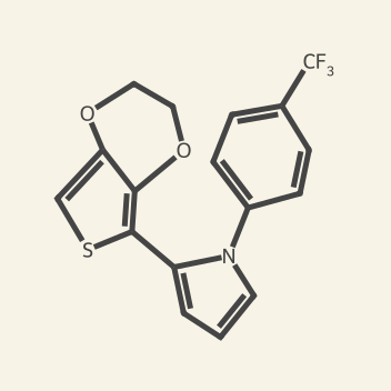 FC(F)(F)c1ccc(-n2cccc2-c2scc3c2OCCO3)cc1